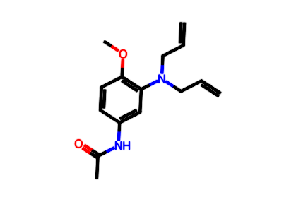 C=CCN(CC=C)c1cc(NC(C)=O)ccc1OC